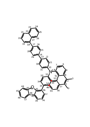 Cc1c(C)c2cccc(N(c3ccc(-c4ccc(-c5cccc6ccccc56)cc4)cc3)c3ccc(-c4cccc5c4oc4ccccc45)cc3)c2c2ccccc12